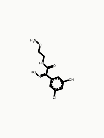 NOCCNC(=O)/C(=N\O)c1cc(O)cc(Cl)c1